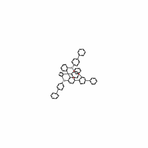 c1ccc(-c2ccc(N3c4ccccc4C4(c5ccccc53)c3ccccc3N(c3ccc(-c5ccccc5)cc3)c3ccc(-c5ccc(-c6ccccc6)cc5-c5ccccc5)cc34)cc2)cc1